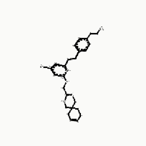 CCCc1ccc(CCc2cc(O)cc(OCC3OCC4(CC=CCC4)CO3)n2)cc1